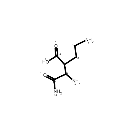 NCCC(C(=O)O)C(N)C(N)=O